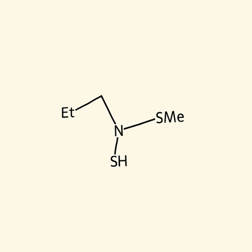 CCCN(S)SC